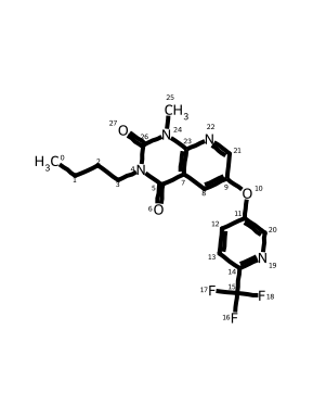 CCCCn1c(=O)c2cc(Oc3ccc(C(F)(F)F)nc3)cnc2n(C)c1=O